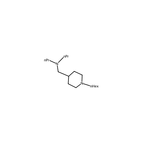 CCCCCCN1CCC(CN(CCC)CCC)CC1